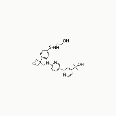 CC(C)(O)c1ccnc(-c2cnc(N3CC4(COC4)c4ccc(SNCCO)cc43)nc2)c1